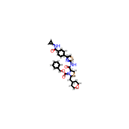 O=C(NC1CC1)c1ccc(-c2csc(NC(=O)C3CSC(CC4CCOCC4)N3C(=O)OCc3ccccc3)n2)cc1